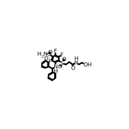 NS(=O)(=O)c1c(F)c(F)c(S(=O)(=O)CCC(=O)NCCO)c(NC(c2ccccc2)c2ccccc2)c1F